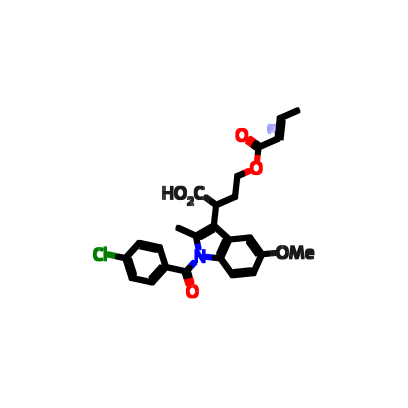 C/C=C/C(=O)OCCC(C(=O)O)c1c(C)n(C(=O)c2ccc(Cl)cc2)c2ccc(OC)cc12